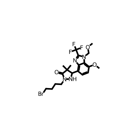 COCn1c(C(F)(F)F)nc2c(C3NN(CCCCBr)C(=O)C3(C)C)ccc(OC)c21